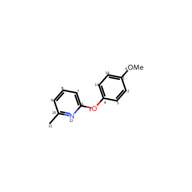 COc1ccc(Oc2cccc(C)n2)cc1